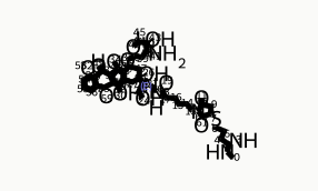 CNC(=N)CCCSC1CC(=O)N(CCCCCC(=O)N/N=C(\CO)[C@]2(O)Cc3c(O)c4c(c(O)c3[C@@H](OC3C[C@H](N)[C@H](O)[C@H](C)O3)C2)C(=O)c2c(OC)cccc2C4=O)C1=O